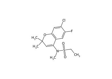 CCS(=O)(=O)N(C)C1=CC(C)(C)Oc2cc(Cl)c(F)cc21